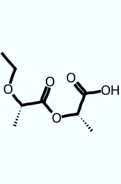 CCO[C@@H](C)C(=O)O[C@@H](C)C(=O)O